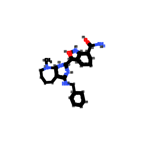 CN1CCCCc2c(NCc3ccccc3)nc(-c3onc4c(C(N)=O)cccc34)nc21